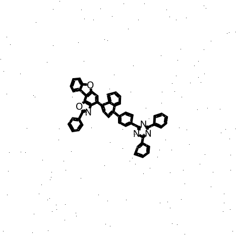 c1ccc(-c2nc(-c3ccccc3)nc(-c3ccc(-c4ccc(-c5cc6oc7ccccc7c6c6oc(-c7ccccc7)nc56)c5ccccc45)cc3)n2)cc1